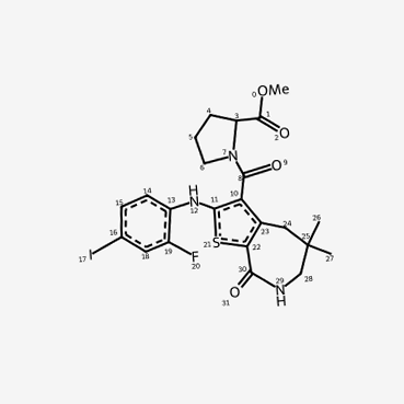 COC(=O)C1CCCN1C(=O)c1c(Nc2ccc(I)cc2F)sc2c1CC(C)(C)CNC2=O